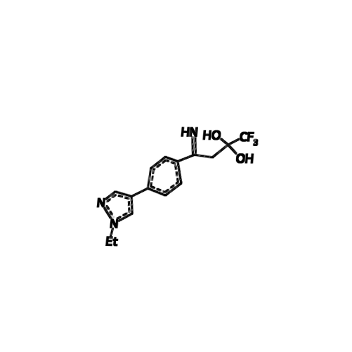 CCn1cc(-c2ccc(C(=N)CC(O)(O)C(F)(F)F)cc2)cn1